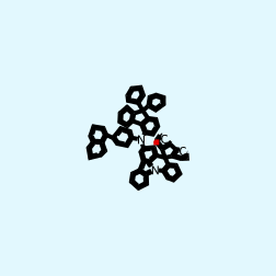 c1ccc(C2(c3ccccc3)c3ccccc3-c3c(N(c4ccc(-c5cccc6ccccc56)cc4)c4cc5c6c(c4)c4ccccc4n6-c4ccccc4C54c5ccccc5-c5ccccc54)cccc32)cc1